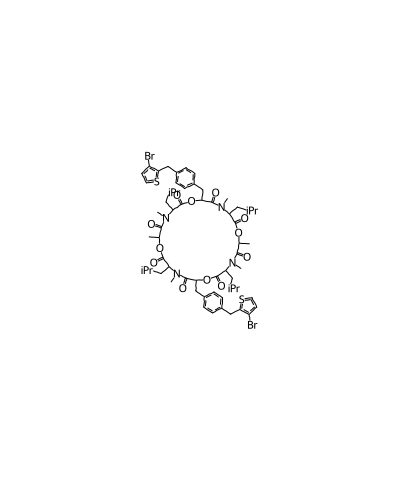 CC(C)CC1C(=O)OC(Cc2ccc(Cc3sccc3Br)cc2)C(=O)N(C)C(CC(C)C)C(=O)OC(C)C(=O)N(C)C(CC(C)C)C(=O)OC(Cc2ccc(Cc3sccc3Br)cc2)C(=O)N(C)C(CC(C)C)C(=O)OC(C)C(=O)N1C